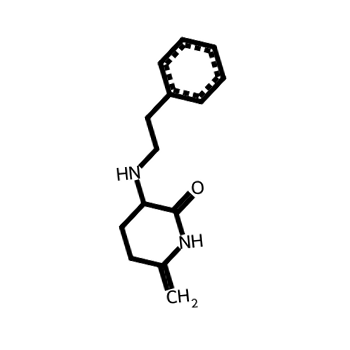 C=C1CCC(NCCc2ccccc2)C(=O)N1